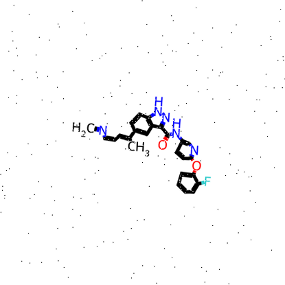 C=N/C=C\C=C(/C)c1ccc2[nH]nc(C(=O)Nc3ccc(Oc4ccccc4F)nc3)c2c1